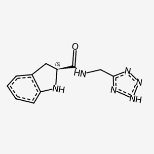 O=C(NCc1nn[nH]n1)[C@@H]1Cc2ccccc2N1